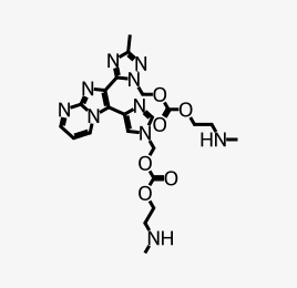 CNCCOC(=O)OCn1cnc(-c2c(-c3nc(C)nn3COC(=O)OCCNC)nc3ncccn23)c1